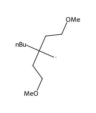 [CH2]C(CCCC)(CCOC)CCOC